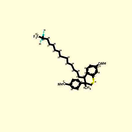 COc1ccc(C2(C)CSc3cc(OC)ccc3C2CCCCCCCCCCCCC(F)(F)C(F)(F)F)cc1